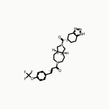 O=C(/C=C/c1ccc(OC(F)(F)F)cc1)N1CC[C@@H]2CN(C(=O)[C@H]3CCc4[nH]nnc4C3)C[C@@H]2CC1